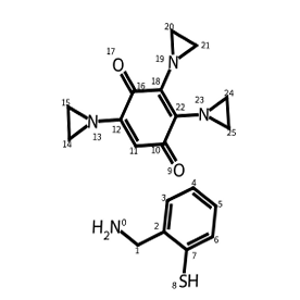 NCc1ccccc1S.O=C1C=C(N2CC2)C(=O)C(N2CC2)=C1N1CC1